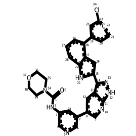 O=C(Nc1cncc(-c2cnc3[nH]nc(-c4cc5c(-c6cccc(Cl)c6)cccc5[nH]4)c3c2)c1)N1CCOCC1